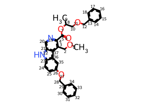 COCc1c(C(=O)OC(C)COCc2ccccc2)ncc2[nH]c3ccc(OCc4ccccc4)cc3c12